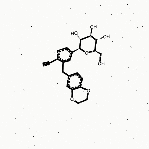 C#Cc1ccc([C@@H]2O[C@H](CO)[C@@H](O)[C@H](O)[C@H]2O)cc1Cc1ccc2c(c1)OCCO2